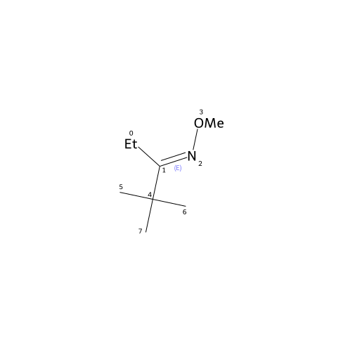 CC/C(=N\OC)C(C)(C)C